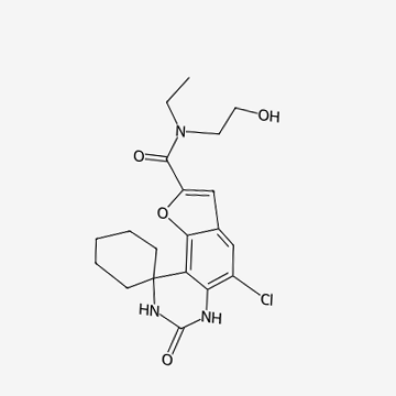 CCN(CCO)C(=O)c1cc2cc(Cl)c3c(c2o1)C1(CCCCC1)NC(=O)N3